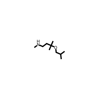 CNCCC(C)(C)OCC(C)C